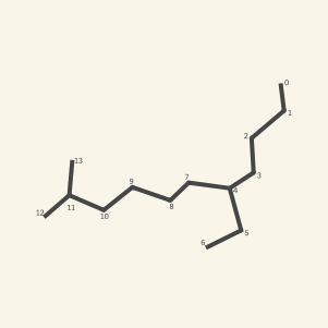 CCCCC(CC)CCCCC(C)C